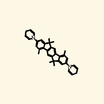 Cc1cc(N2C=CCC=C2)cc2c1-c1cc3c(cc1C2(C)C)-c1c(C)cc(N2C=CCC=C2)cc1C3(C)C